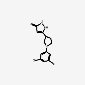 O=c1cc(C2CCN(c3cc(Cl)cc(Cl)c3)C2)[nH][nH]1